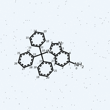 Nc1ccc2c(c1)ncn2C(c1ccccc1)(c1ccccc1)c1ccccc1